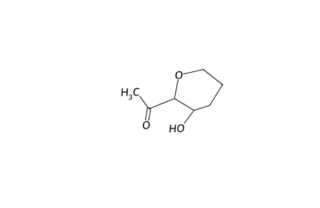 CC(=O)C1OCCCC1O